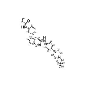 C=CC(=O)Nc1cccc(-c2ccn3cnc(Nc4ccc(N5CCN(CC(C)(C)O)CC5)cc4)cc23)c1